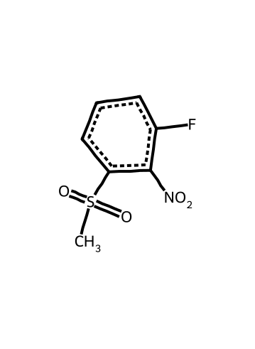 CS(=O)(=O)c1cccc(F)c1[N+](=O)[O-]